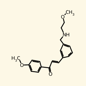 COCCNCc1cccc(C=CC(=O)c2ccc(OC)cc2)c1